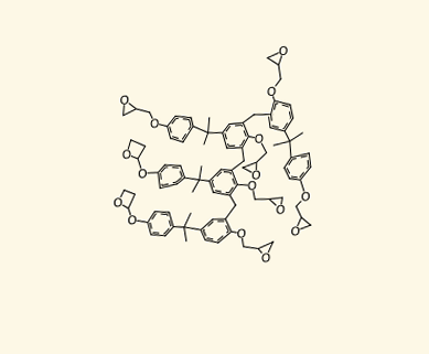 CC(C)(c1ccc(OCC2CO2)cc1)c1ccc(OCC2CO2)c(Cc2cc(C(C)(C)c3ccc(OCC4CO4)cc3)cc(Cc3cc(C(C)(C)c4ccc(OC5CCO5)cc4)cc(Cc4cc(C(C)(C)c5ccc(OC6CCO6)cc5)ccc4OCC4CO4)c3OCC3CO3)c2OCC2CO2)c1